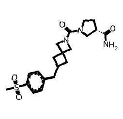 CS(=O)(=O)c1ccc(CC2CC3(C2)CN(C(=O)N2CC[C@H](C(N)=O)C2)C3)cc1